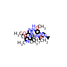 [2H]C1([2H])N(c2nc(Nc3cc(NC(=O)C=C)c(N4CCN(C5CC5)CC4)cc3OC)ncc2C(=O)OC(C)C)c2ccc(C)nc2C1(C)C